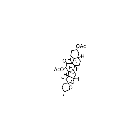 CC(=O)OC1C(=O)[C@H]2[C@@H](CC[C@H]3C[C@@H](OC(C)=O)CC[C@@]32C)[C@@H]2C[C@@H]3O[C@]4(CC[C@@H](C)CO4)[C@@H](C)[C@@H]3[C@@]12C